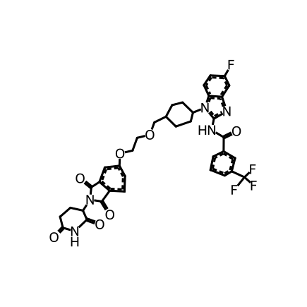 O=C1CCC(N2C(=O)c3ccc(OCCOCC4CCC(n5c(NC(=O)c6cccc(C(F)(F)F)c6)nc6cc(F)ccc65)CC4)cc3C2=O)C(=O)N1